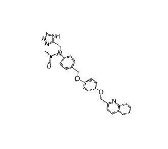 CC(=O)N(Cc1nnn[nH]1)c1ccc(COc2ccc(OCc3ccc4ccccc4n3)cc2)cc1